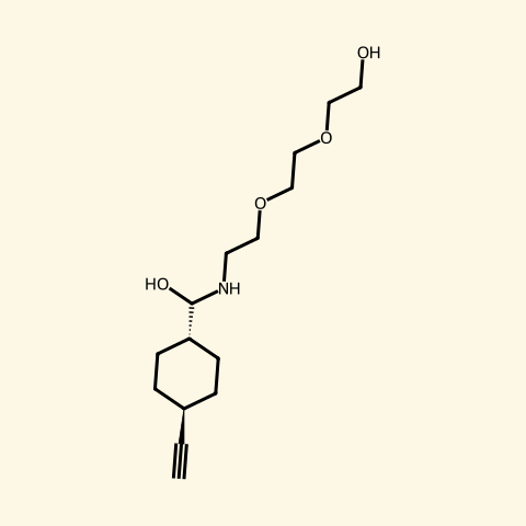 C#C[C@H]1CC[C@H](C(O)NCCOCCOCCO)CC1